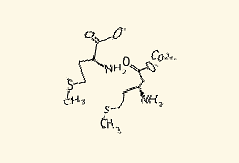 CSCC[C@H](N)C(=O)[O-].CSCC[C@H](N)C(=O)[O-].[Co+2]